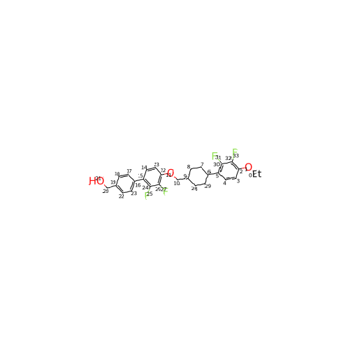 CCOc1ccc(C2CCC(COc3ccc(-c4ccc(CO)cc4)c(F)c3F)CC2)c(F)c1F